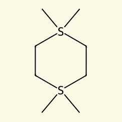 CS1(C)CCS(C)(C)CC1